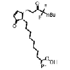 CCCCC(F)(F)C(=O)CC[C@H]1C=CC(=O)[C@@H]1CCCCCCCCC(OO)C(C)C